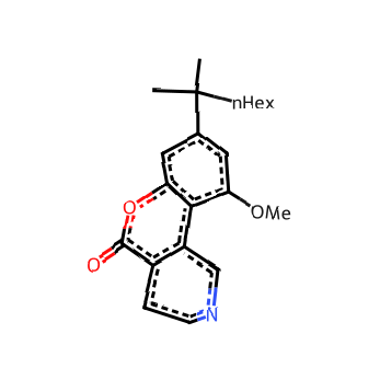 CCCCCCC(C)(C)c1cc(OC)c2c(c1)oc(=O)c1ccncc12